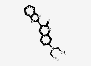 CCN(CC)c1ccc2cc(-c3nc4ccccc4o3)c(=O)oc2c1